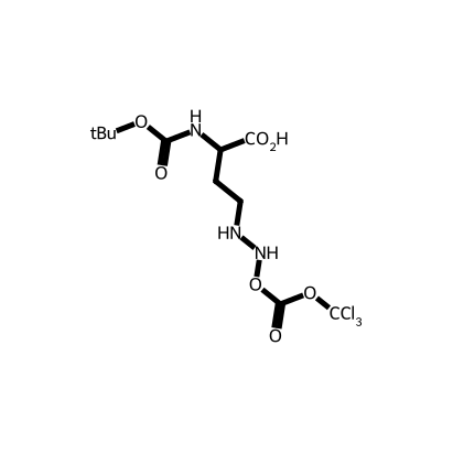 CC(C)(C)OC(=O)NC(CCNNOC(=O)OC(Cl)(Cl)Cl)C(=O)O